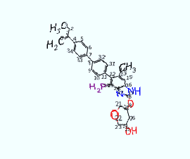 C=C(CC)c1ccc(-c2ccc(-c3c(C)cc4[nH]c(OC5COCC(O)C5)nc4c3P)cc2)cc1